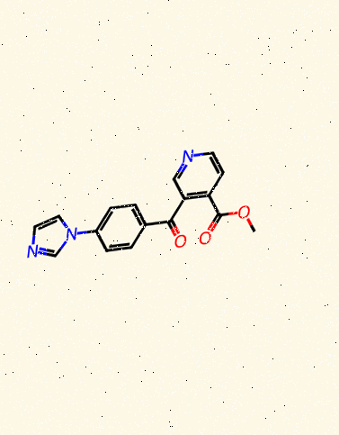 COC(=O)c1ccncc1C(=O)c1ccc(-n2ccnc2)cc1